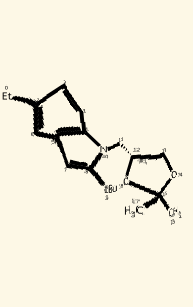 CCc1ccc2c(c1)cc(C(C)(C)C)n2C[C@@H]1COC(C)(C)O1